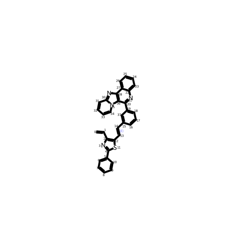 C=Cc1nc(-c2ccccc2)sc1/C=C/c1cccc(-c2nc3ccccc3c3nc4ccccn4c23)c1